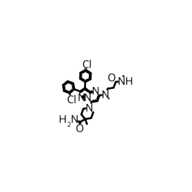 CNC(=O)CCN(C)c1cc(N2CCC(C)(C(N)=O)CC2)n2nc(-c3ccccc3Cl)c(-c3ccc(Cl)cc3)c2n1